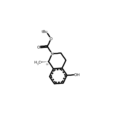 C[C@H]1c2cccc(O)c2CCN1C(=O)OC(C)(C)C